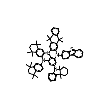 CC1(C)CCC(C)(C)c2cc(N3c4cc5c(cc4B4c6cc7c(cc6N(c6ccc8c(c6)sc6ccccc68)c6cc(N8c9ccccc9C9(C)CCCCC89C)cc3c64)C(C)(C)c3ccccc3C7(C)C)C(C)(C)CCC5(C)C)ccc21